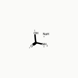 NC(=O)O.[NaH]